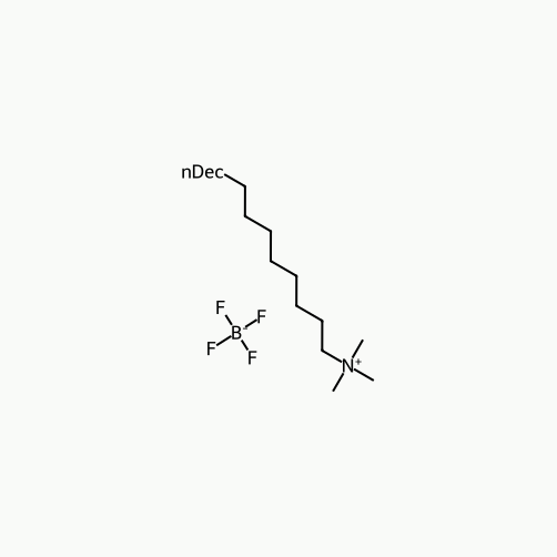 CCCCCCCCCCCCCCCCCC[N+](C)(C)C.F[B-](F)(F)F